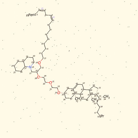 CCCCC/C=C\C/C=C\CCCCCCCCOCC(CN1CCCC2CCCCC21)OCCOCCO[C@H]1CC[C@@]2(C)C(=CCC3C2CC[C@@]2(C)C3CC[C@@H]2[C@H](C)CCCC(C)C)C1